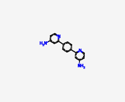 Nc1ccnc(-c2ccc(-c3cc(N)ccn3)cc2)c1